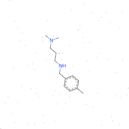 Cc1ccc(CNCCCN(C)C)cc1